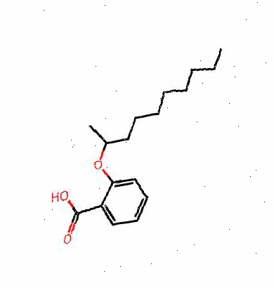 CCCCCCCCC(C)Oc1ccccc1C(=O)O